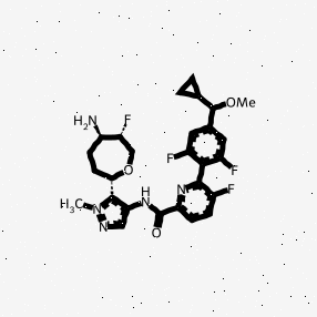 COC(c1cc(F)c(-c2nc(C(=O)Nc3cnn(C)c3[C@@H]3CC[C@@H](N)[C@H](F)CO3)ccc2F)c(F)c1)C1CC1